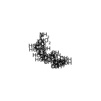 CC(=O)NC1[C@H](O[C@@H]2C(O)[C@@H](O[C@H]3C(CO)O[C@@H](O[C@@H]4C(COc5ccc([N+](=O)[O-])cc5)O[C@@H](OCCCCCN)C(O)[C@H]4O)C(O)[C@H]3O)OC(CO)[C@@H]2O)OC(CO)[C@H](O)[C@@H]1O[C@@H]1OC(CO)[C@H](O)[C@H](O)C1O[C@@H]1OC(C)[C@@H](O)[C@H](O)C1O